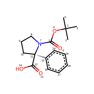 CC(C)(C)OC(=O)N1CCC[C@@]1(C(=O)O)c1ccccc1